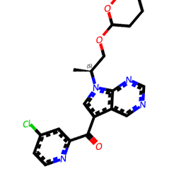 C[C@@H](COC1CCCCO1)n1cc(C(=O)c2cc(Cl)ccn2)c2cncnc21